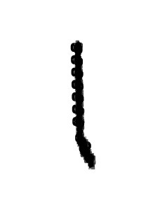 C=C(C)C(=O)OCCCCC(=O)OCCCCC(=O)OCCCCC(=O)OCCCCC(=O)OCCCCC(=O)OCCCCC(=O)OCCCCCCOc1ccc(C(=O)Oc2ccc([C@H]3CC[C@H](CCC)CC3)cc2)cc1